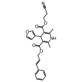 CC1=C(C(=O)OC/C=C/c2ccccc2)C(c2ccoc2)C(C(=O)OCCC#N)=C(C)N1